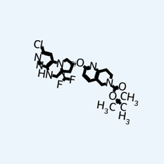 CC(C)(C)OC(=O)N1CCc2nc(O[C@H]3CN4c5cc(Cl)nnc5NC[C@@]4(C(F)F)C3)ccc2C1